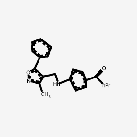 CCCC(=O)c1ccc(NCc2c(C)noc2-c2ccccc2)cc1